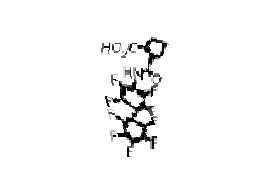 O=C(O)C1=C(C(=O)Nc2c(F)c(F)c(-c3c(F)c(F)c(F)c(F)c3F)c(F)c2F)CCC1